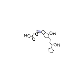 O=C(O)CO/N=C1/CC2C1CC(CCC(O)C1CCCC1)C2O